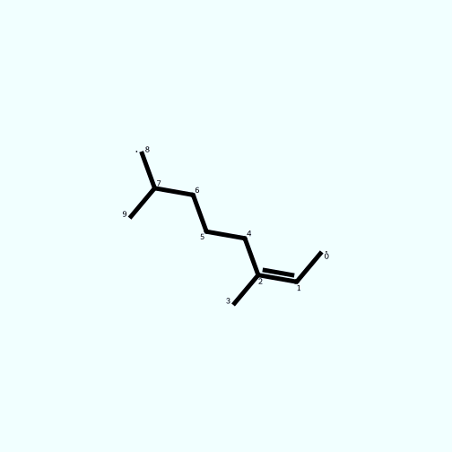 [CH2]C=C(C)CCCC([CH2])C